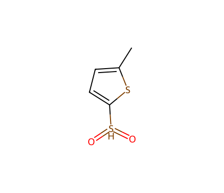 Cc1ccc([SH](=O)=O)s1